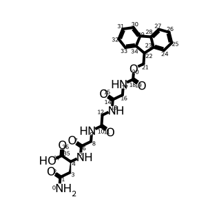 NC(=O)C[C@H](NC(=O)CNC(=O)CNC(=O)CNC(=O)OCC1c2ccccc2-c2ccccc21)C(=O)O